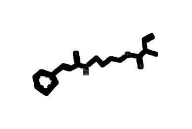 C=CC(C)C(=O)OCCCCNC(=O)/C=C/c1ccccc1